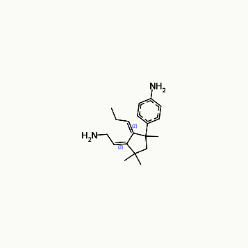 CC/C=C1\C(=C/CN)C(C)(C)CC1(C)c1ccc(N)cc1